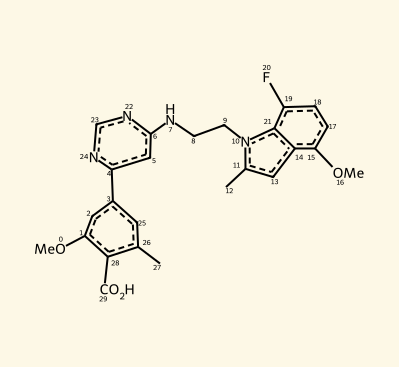 COc1cc(-c2cc(NCCn3c(C)cc4c(OC)ccc(F)c43)ncn2)cc(C)c1C(=O)O